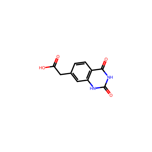 O=C(O)Cc1ccc2c(=O)[nH]c(=O)[nH]c2c1